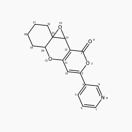 O=c1oc(-c2cccnc2)cc2c1C1OC13CCCCC3O2